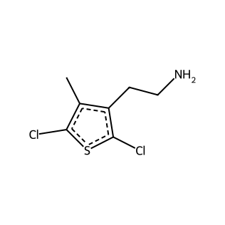 Cc1c(Cl)sc(Cl)c1CCN